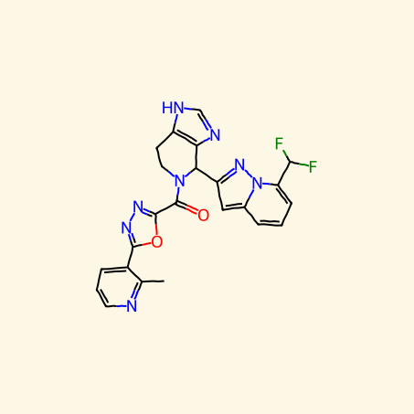 Cc1ncccc1-c1nnc(C(=O)N2CCc3[nH]cnc3C2c2cc3cccc(C(F)F)n3n2)o1